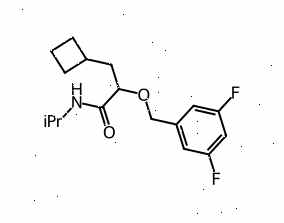 CC(C)NC(=O)C(CC1CCC1)OCc1cc(F)cc(F)c1